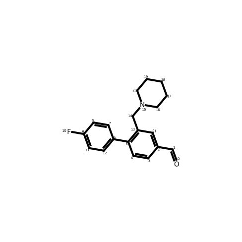 O=Cc1ccc(-c2ccc(F)cc2)c(CN2CCCCC2)c1